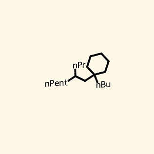 CCCCCC(CCC)CC1(CCCC)CCCCC1